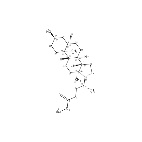 C[C@H](CCC(=O)OC(C)(C)C)[C@H]1CC[C@H]2[C@@H]3CC[C@@H]4C[C@H](O)CC[C@]4(C)[C@H]3CC[C@]12C